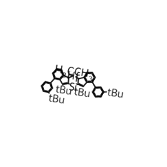 CC(C)(C)c1cccc(-c2cccc3c2C=C2[CH]3[Hf]([CH3])([CH3])[CH]3C(=Cc4c(-c5cccc(C(C)(C)C)c5)cccc43)[Si]2(C(C)(C)C)C(C)(C)C)c1